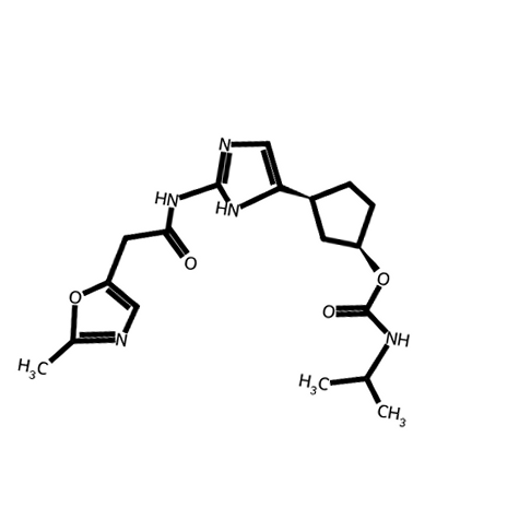 Cc1ncc(CC(=O)Nc2ncc([C@H]3CC[C@@H](OC(=O)NC(C)C)C3)[nH]2)o1